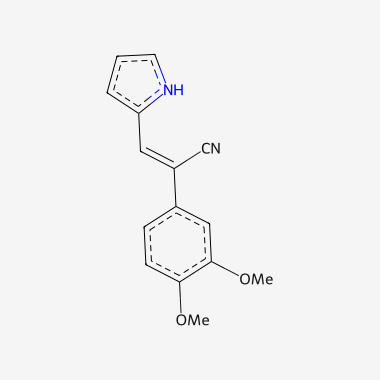 COc1ccc(C(C#N)=Cc2ccc[nH]2)cc1OC